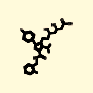 Cc1ccccc1CNC(=O)c1nn(-c2ccc(F)cc2)c(CC[C@@H](O)C[C@@H](O)CC(=O)O)c1C(C)C